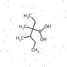 CCC(C)C(C)(CC)B(O)O